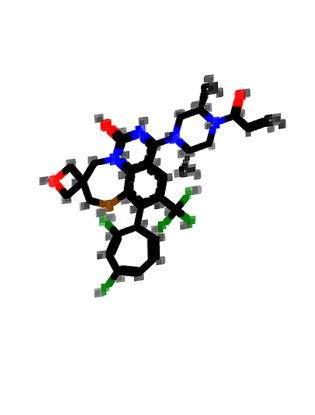 C=CC(=O)N1C[C@H](C)N(c2nc(=O)n3c4c(c(C5C#CC=C(F)C=C5F)c(C(F)(F)F)cc24)SCC2(COC2)C3)C[C@H]1C